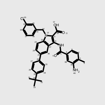 Cc1ccc(C(=O)Nc2c(C(=O)O)n(Cc3cccc(Cl)c3)c3ccc(-c4ccc(C(C)(C)C)cc4)cc23)cc1N